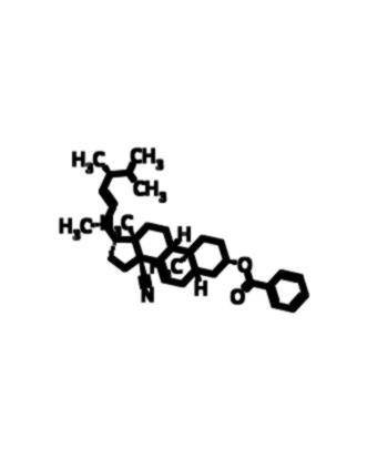 CC(C)[C@H](C)/C=C/[C@@H](C)[C@H]1CC[C@@]2(C#N)C3=CC[C@H]4C[C@@H](OC(=O)c5ccccc5)CC[C@]4(C)[C@H]3CC[C@]12C